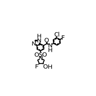 O=C(Nc1ccc(F)c(Cl)c1)c1cc(S(=O)(=O)N2CC(O)C(F)C2)cc2nc[nH]c12